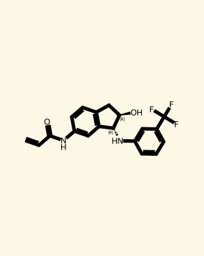 C=CC(=O)Nc1ccc2c(c1)[C@@H](Nc1cccc(C(F)(F)F)c1)[C@H](O)C2